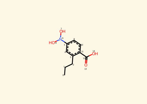 CCCc1cc(N(O)O)ccc1C(=O)O